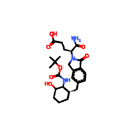 CC(C)(C)OC(=O)N[C@H]1[C@H](Cc2ccc3c(c2)CN([C@@H](CCC(=O)O)C(N)=O)C3=O)CCC[C@H]1O